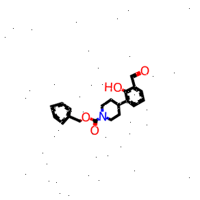 O=Cc1cccc(C2CCN(C(=O)OCc3ccccc3)CC2)c1O